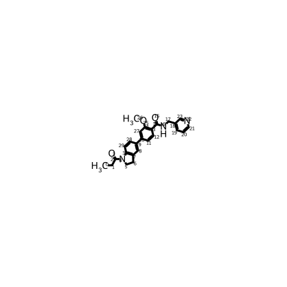 CCC(=O)N1CCc2cc(-c3ccc(C(=O)NCc4cccnc4)c(OC)c3)ccc21